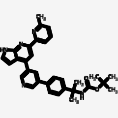 Cc1cccc(-c2cc(-c3cncc(-c4ccc(C(C)(C)NC(=O)OC(C)(C)C)cc4)c3)c3cc[nH]c3n2)n1